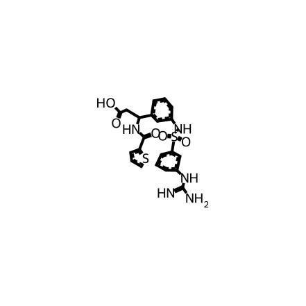 N=C(N)Nc1cccc(S(=O)(=O)Nc2cccc(C(CC(=O)O)NC(=O)c3cccs3)c2)c1